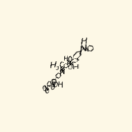 Cc1cc(N=Nc2ccc3cc(Nc4ccccc4)ccc3c2O)c(O)cc1N=Nc1ccc(C=Cc2ccc([N+](=O)[O-])cc2S(=O)(=O)O)cc1